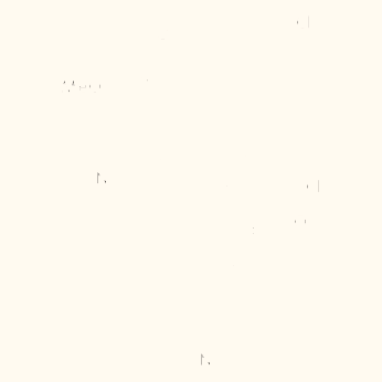 COC(=O)c1c(N)cc(C(=O)c2ccncc2)c2c(Cl)cc(Cl)cc12